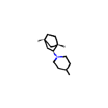 CC1CCN([C@H]2C[C@@H]3CC[C@H]2C3)CC1